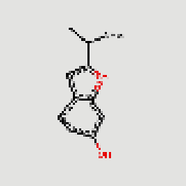 CC(=O)NC(C)c1cc2ccc(O)cc2o1